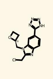 ClCc1nc2ccc(-c3nnn[nH]3)cc2n1C[C@@H]1CCO1